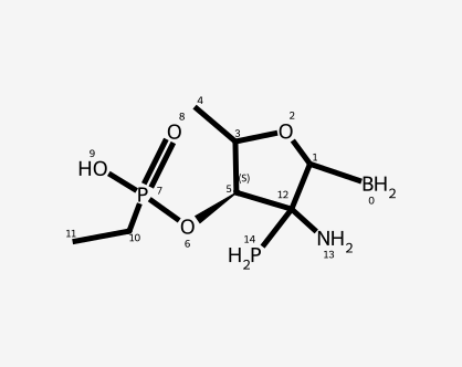 BC1OC(C)[C@H](OP(=O)(O)CC)C1(N)P